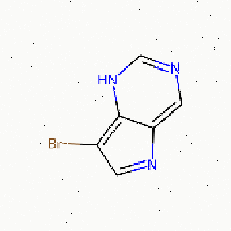 Brc1cnc2cnc[nH]c1-2